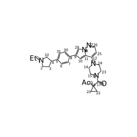 CCN1CCC(c2ccc(-c3cc4c(N5CCN(C(=O)C6(C(C)=O)CC6)CC5)ccnn4c3)cc2)C1